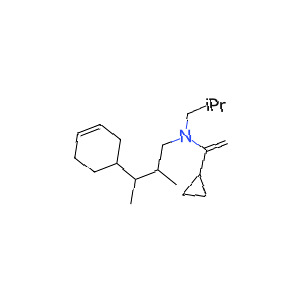 C=C(C1CC1)N(CC(C)C)CC(C)C(C)C1CC=CCC1